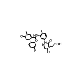 Cc1ccc(-n2ncc(=O)n(CCO)c2=O)cc1NC(=O)C1=CN(C)C(=O)C[C@H]1c1ccc(F)cc1